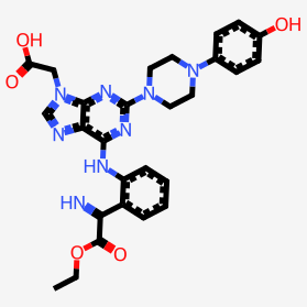 CCOC(=O)C(=N)c1ccccc1Nc1nc(N2CCN(c3ccc(O)cc3)CC2)nc2c1ncn2CC(=O)O